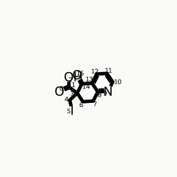 O=C(O)C1(CI)CCc2ncccc2C1=O